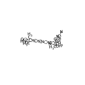 Cc1cc(N2CCC(N3CCN(C4CCC(n5cc6cc(NC(=O)c7ccc8cc(C#N)cnn78)c(C(C)(C)O)cc6n5)CC4)CC3)CC2)cc(C)c1[C@H]1CCC(=O)NC1=O